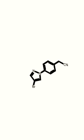 N#CCc1ccc(-n2cc(Br)cn2)cc1